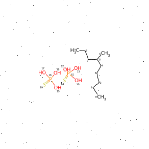 CCCCCC(C)CCC.OP(O)(O)=S.OP(O)(O)=S